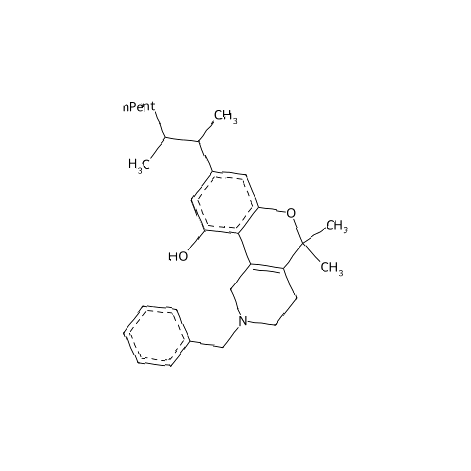 CCCCCC(C)C(C)c1cc(O)c2c(c1)OC(C)(C)C1=C2CN(Cc2ccccc2)CC1